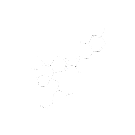 COCCN(C=O)CC1(N(/C=C(\C)C(=O)NCc2ccc(F)cc2F)/C(C)=C(/O)C=O)CCOC1